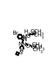 C[Si](C)(C)CCOCn1c(-c2nn(COCC[Si](C)(C)C)c3cc(Br)ccc23)nc2c1CN(SC1CCC1)C2